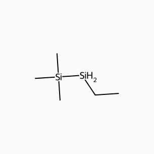 CC[SiH2][Si](C)(C)C